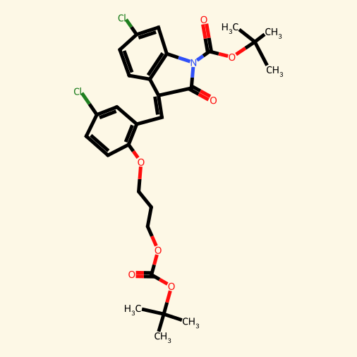 CC(C)(C)OC(=O)OCCCOc1ccc(Cl)cc1C=C1C(=O)N(C(=O)OC(C)(C)C)c2cc(Cl)ccc21